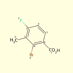 Cc1c(F)ccc(C(=O)O)c1Br